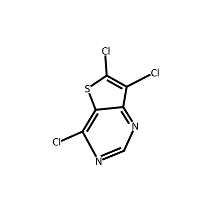 Clc1sc2c(Cl)ncnc2c1Cl